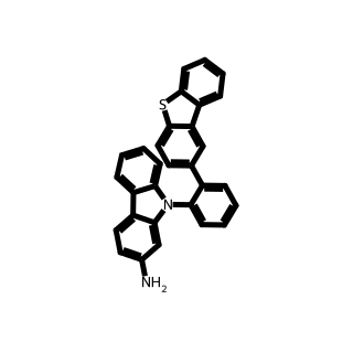 Nc1ccc2c3ccccc3n(-c3ccccc3-c3ccc4sc5ccccc5c4c3)c2c1